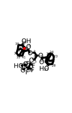 O=C(OCC(COC(F)(F)C(F)(F)S(=O)(=O)O)OC(=O)C12CC3CC(CC(O)(C3)C1)C2)C12CC3CC(CC(O)(C3)C1)C2